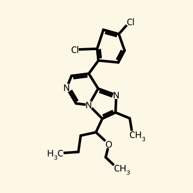 CCCC(OCC)c1c(CC)nc2c(-c3ccc(Cl)cc3Cl)cncn12